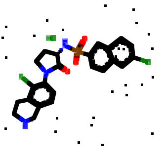 Cl.O=C1[C@@H](NS(=O)(=O)c2ccc3cc(Cl)ccc3c2)CCN1c1ccc2c(c1F)CCNC2